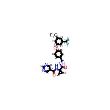 O=C(NC1(C(=O)NCc2ccc(Oc3cc(C(F)F)cc(C(F)(F)F)c3)cc2)CC1)c1cncnc1